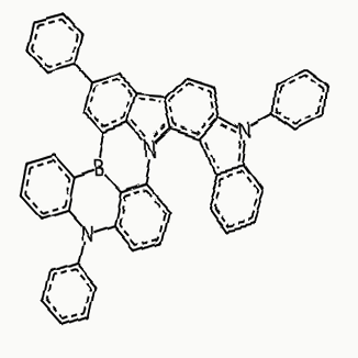 c1ccc(-c2cc3c4c(c2)c2ccc5c(c6ccccc6n5-c5ccccc5)c2n4-c2cccc4c2B3c2ccccc2N4c2ccccc2)cc1